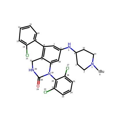 CC(C)(C)N1CCC(Nc2cc(-c3ccccc3Cl)c3c(c2)N(c2c(Cl)cccc2Cl)C(=O)NC3)CC1